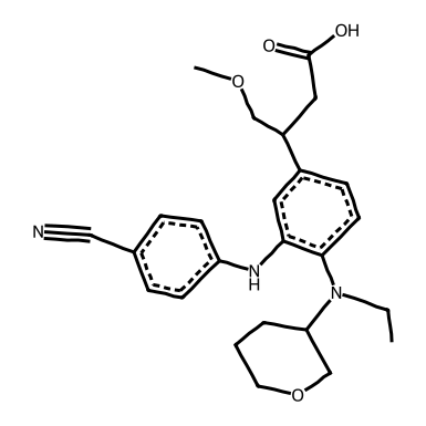 CCN(c1ccc(C(COC)CC(=O)O)cc1Nc1ccc(C#N)cc1)C1CCCOC1